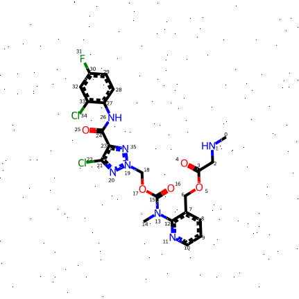 CNCC(=O)OCc1cccnc1N(C)C(=O)OCn1nc(Cl)c(C(=O)Nc2ccc(F)cc2Cl)n1